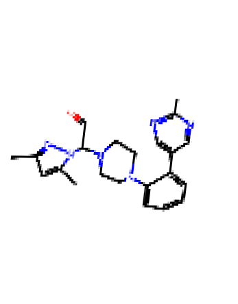 Cc1cc(C)n(C(C=O)N2CCN(c3ccccc3-c3cnc(C)nc3)CC2)n1